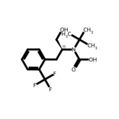 CC(C)(C)N(C(=O)O)[C@H](CO)Cc1ccccc1C(F)(F)F